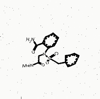 CNC(=O)CN(c1ccccc1C(N)=O)S(=O)(=O)Cc1ccccc1